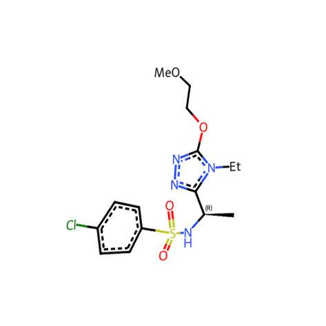 CCn1c(OCCOC)nnc1[C@@H](C)NS(=O)(=O)c1ccc(Cl)cc1